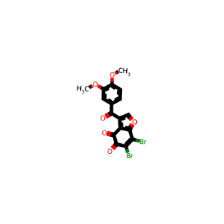 COc1ccc(C(=O)c2coc3c2C(=O)C(=O)C(Br)=C3Br)cc1OC